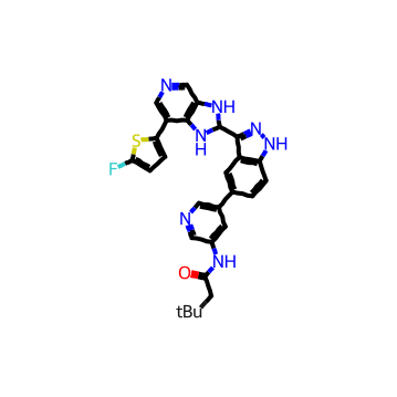 CC(C)(C)CC(=O)Nc1cncc(-c2ccc3[nH]nc(C4Nc5cncc(-c6ccc(F)s6)c5N4)c3c2)c1